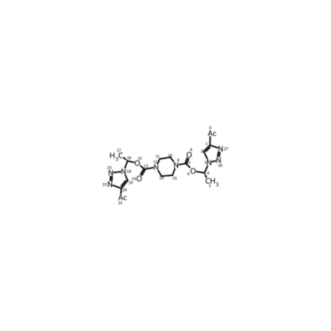 CC(=O)c1cn([C@@H](C)OC(=O)N2CCN(C(=O)O[C@H](C)n3cc(C(C)=O)nn3)CC2)nn1